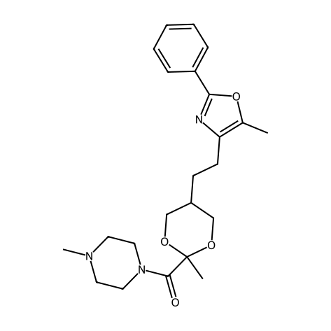 Cc1oc(-c2ccccc2)nc1CCC1COC(C)(C(=O)N2CCN(C)CC2)OC1